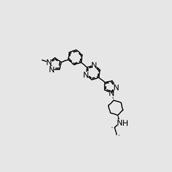 [CH2][CH]N[C@H]1CC[C@H](n2cc(-c3cnc(-c4cccc(-c5cnn(C)c5)c4)nc3)cn2)CC1